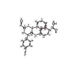 O=CN1CC(c2ccccc2)N(Cc2ccc(C(=O)O)cc2)C(c2ccc(F)cc2)C1